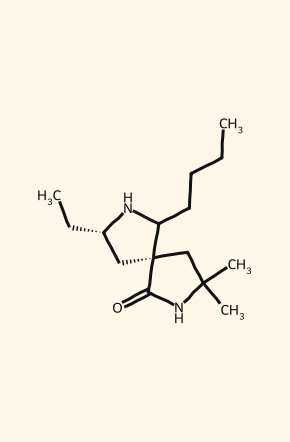 CCCCC1N[C@@H](CC)C[C@@]12CC(C)(C)NC2=O